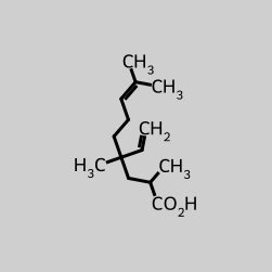 C=CC(C)(CCC=C(C)C)CC(C)C(=O)O